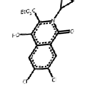 CCOC(=O)c1c(O)c2cc(Cl)c(Cl)cc2c(=O)n1C1CC1